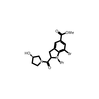 COC(=O)c1cc(Br)c2c(c1)CC(C(=O)N1CC[C@@H](O)C1)N2C(C)C